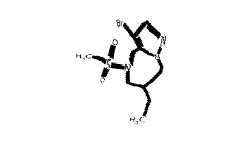 CCC1CN(S(C)(=O)=O)c2c(Br)cnn2C1